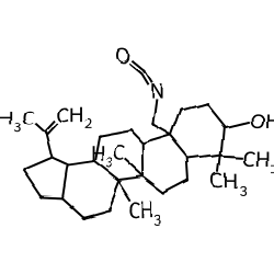 C=C(C)C1CCC2CCC3(C)C(CCC4C5(CN=C=O)CCC(O)C(C)(C)C5CCC43C)C21